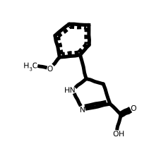 COc1ccccc1C1CC(C(=O)O)=NN1